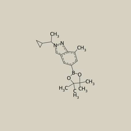 Cc1cc(B2OC(C)(C)C(C)(C)O2)cc2cn(C(C)C3CC3)nc12